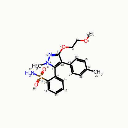 CCOCCOc1nn(C)c(-c2ccccc2S(N)(=O)=O)c1-c1ccc(C)cc1